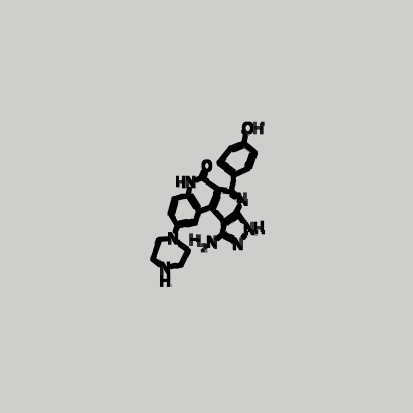 Nc1n[nH]c2nc(-c3ccc(O)cc3)c3c(=O)[nH]c4ccc(N5CCNCC5)cc4c3c12